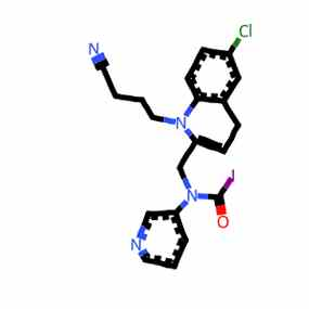 N#CCCCN1C(CN(C(=O)I)c2cccnc2)=CCc2cc(Cl)ccc21